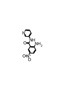 Nc1ccc([N+](=O)[O-])cc1C(=O)Nc1cccnc1